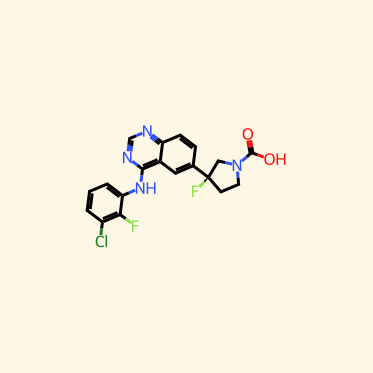 O=C(O)N1CC[C@](F)(c2ccc3ncnc(Nc4cccc(Cl)c4F)c3c2)C1